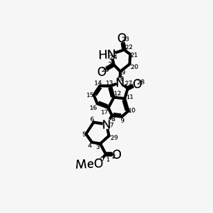 COC(=O)C1CCCN(c2ccc3c4c(cccc24)N(C2CCC(=O)NC2=O)C3=O)C1